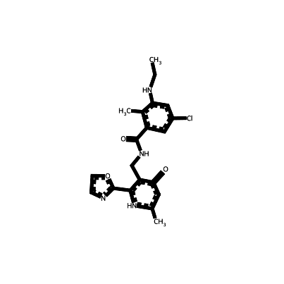 CCNc1cc(Cl)cc(C(=O)NCc2c(-c3ncco3)[nH]c(C)cc2=O)c1C